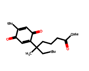 COC(=O)CCCC(C)(CC(C)(C)C)C1=CC(=O)C(C(C)(C)C)=CC1=O